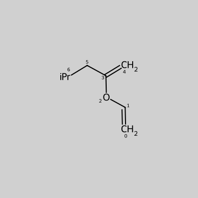 C=COC(=C)CC(C)C